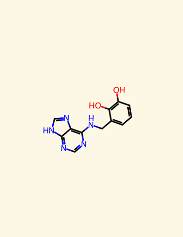 Oc1cccc(CNc2ncnc3[nH]cnc23)c1O